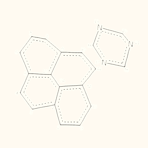 c1cc2ccc3cccc4ccc(c1)c2c34.c1ncncn1